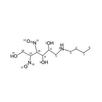 CCCCNCC(O)C(O)C(N=O)C(CO)N=O